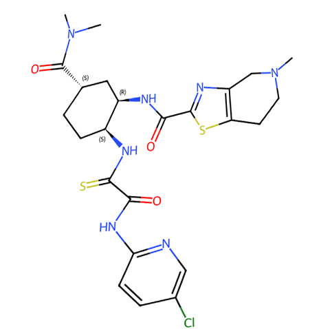 CN1CCc2sc(C(=O)N[C@@H]3C[C@@H](C(=O)N(C)C)CC[C@@H]3NC(=S)C(=O)Nc3ccc(Cl)cn3)nc2C1